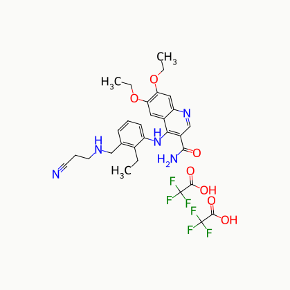 CCOc1cc2ncc(C(N)=O)c(Nc3cccc(CNCCC#N)c3CC)c2cc1OCC.O=C(O)C(F)(F)F.O=C(O)C(F)(F)F